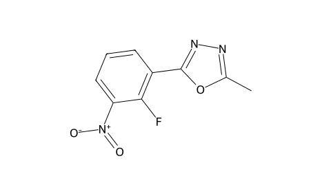 Cc1nnc(-c2cccc([N+](=O)[O-])c2F)o1